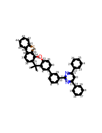 CC1(C)c2cc(-c3cccc(-c4nc(-c5ccccc5)cc(-c5ccccc5)n4)c3)ccc2Oc2c1ccc1c2sc2ccccc21